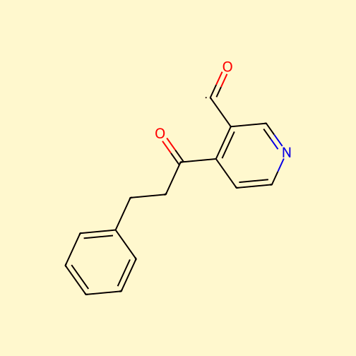 O=[C]c1cnccc1C(=O)CCc1ccccc1